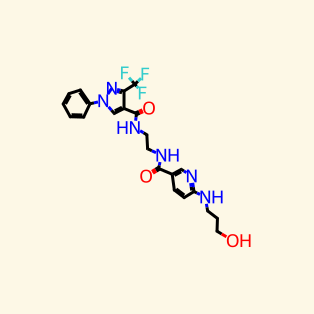 O=C(NCCNC(=O)c1cn(-c2ccccc2)nc1C(F)(F)F)c1ccc(NCCCO)nc1